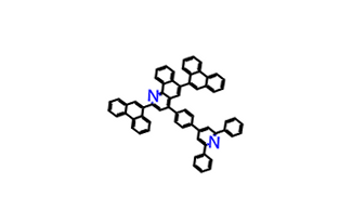 c1ccc(-c2cc(-c3ccc(-c4cc(-c5cc6ccccc6c6ccccc56)nc5c4cc(-c4cc6ccccc6c6ccccc46)c4ccccc45)cc3)cc(-c3ccccc3)n2)cc1